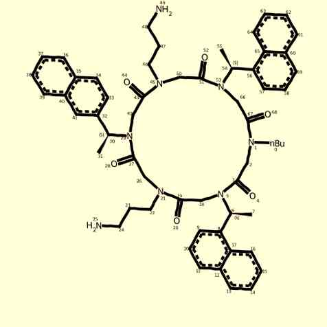 CCCCN1CC(=O)N([C@@H](C)c2cccc3ccccc23)CC(=O)N(CCCN)CC(=O)N([C@@H](C)c2ccc3ccccc3c2)CC(=O)N(CCCN)CC(=O)N([C@@H](C)c2cccc3ccccc23)CC1=O